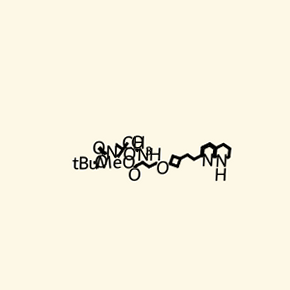 COC(=O)C(CCOC1CC(CCc2ccc3c(n2)NCCC3)C1)NC(=O)OC1(C)CN(C(=O)OC(C)(C)C)C1